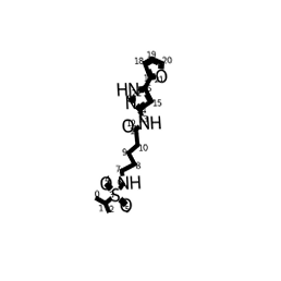 CC(C)S(=O)(=O)NCCCCC(=O)Nc1cc(-c2ccco2)[nH]n1